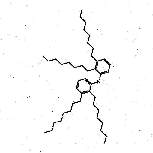 CCCCCCCCc1cccc(Nc2cccc(CCCCCCCC)c2CCCCCCCC)c1CCCCCCCC